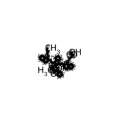 CCCCC[n+]1c(/C=C/C2=C(c3c(O)n(-c4ccccc4)c(=O)n(C)c3=O)C(=C/C=C3\C=Cc4ccccc4N3CCCCS(=O)(=O)O)/c3ccccc32)ccc2ccccc21